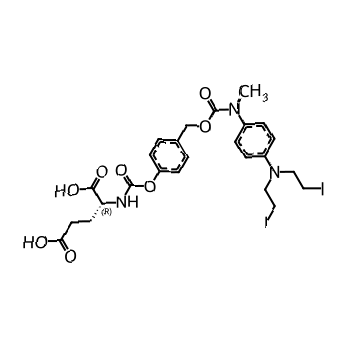 CN(C(=O)OCc1ccc(OC(=O)N[C@H](CCC(=O)O)C(=O)O)cc1)c1ccc(N(CCI)CCI)cc1